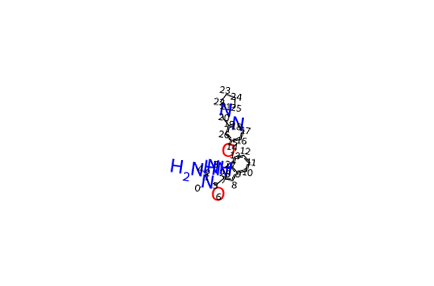 CN(C(=N)N)C(=O)c1cc2cccc(Oc3ccnc(CN4CCCC4)c3)c2[nH]1